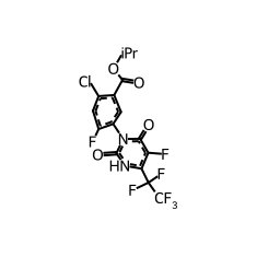 CC(C)OC(=O)c1cc(-n2c(=O)[nH]c(C(F)(F)C(F)(F)F)c(F)c2=O)c(F)cc1Cl